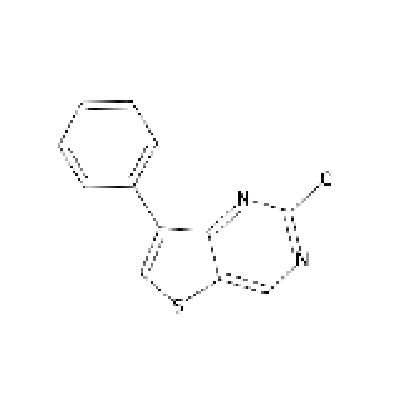 Clc1ncc2scc(-c3ccccc3)c2n1